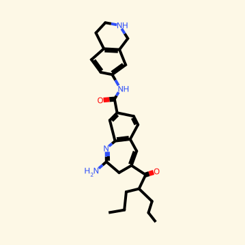 CCCC(CCC)C(=O)C1=Cc2ccc(C(=O)Nc3ccc4c(c3)CNCC4)cc2N=C(N)C1